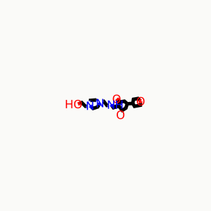 O=C1CC(C2CCOCC2)CC(=O)C1=CNCCN1CCN(CCO)CC1